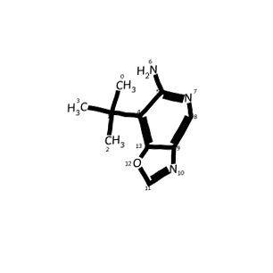 CC(C)(C)c1c(N)ncc2ncoc12